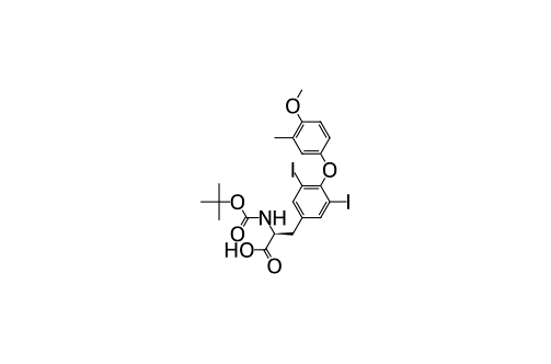 COc1ccc(Oc2c(I)cc(C[C@H](NC(=O)OC(C)(C)C)C(=O)O)cc2I)cc1C